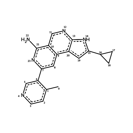 Cc1ccncc1-c1cc2c(cnc3[nH]c(C4CC4)cc32)c(N)n1